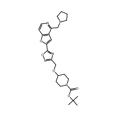 CC(C)(C)OC(=O)N1CCC(OCc2noc(-c3cc4c(CN5CCCC5)nccc4o3)n2)CC1